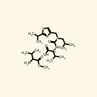 CC(C)CN(Cc1csc(C(C)C)n1)C(=O)N[C@H](C(=O)O)C(C)C.COC(=O)C(N)C(C)C